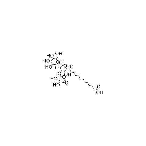 CO[C@@H]1OC(C(=O)CCCCCCCCCCCC(=O)O)[C@@H](O)C(OC2OC3OC3C(O)C2O)C1OC1OC(CO)C(O)C(O)C1O